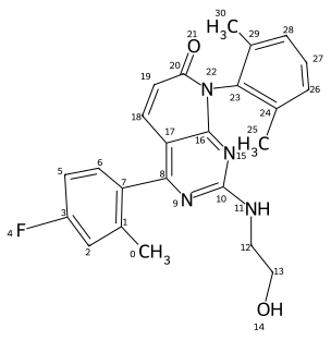 Cc1cc(F)ccc1-c1nc(NCCO)nc2c1ccc(=O)n2-c1c(C)cccc1C